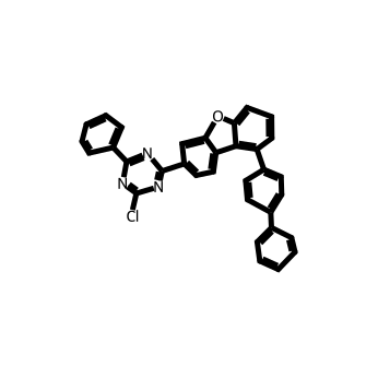 Clc1nc(-c2ccccc2)nc(-c2ccc3c(c2)oc2cccc(-c4ccc(-c5ccccc5)cc4)c23)n1